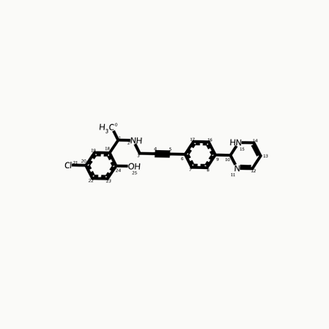 CC(NCC#Cc1ccc(C2N=CC=CN2)cc1)c1cc(Cl)ccc1O